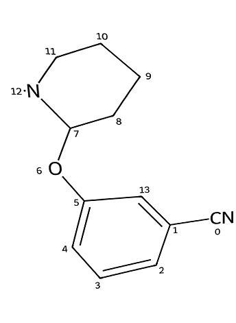 N#Cc1cccc(OC2CCCC[N]2)c1